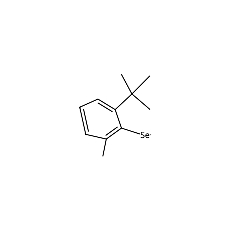 Cc1cccc(C(C)(C)C)c1[Se]